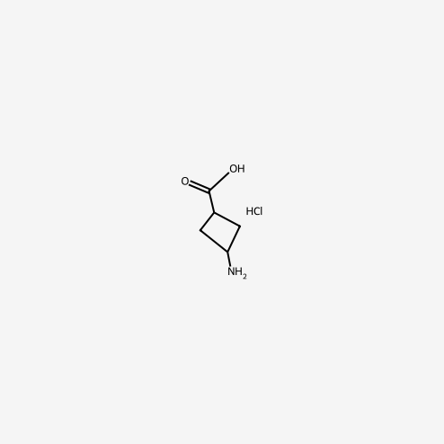 Cl.NC1CC(C(=O)O)C1